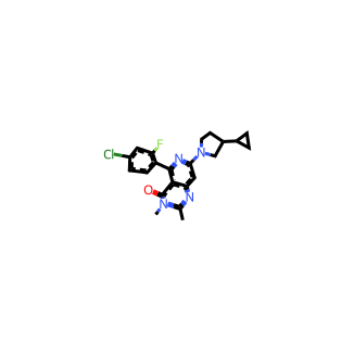 Cc1nc2cc(N3CCC(C4CC4)C3)nc(-c3ccc(Cl)cc3F)c2c(=O)n1C